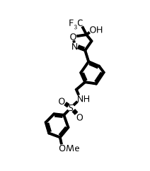 COc1cccc(S(=O)(=O)NCc2cccc(C3=NOC(O)(C(F)(F)F)C3)c2)c1